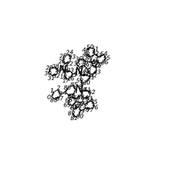 c1ccc(-c2ccc(N(c3cccc(N(c4cccc(N(c5ccccc5)c5ccccc5)c4)c4cccc5c4-c4ccccc4C54c5ccccc5-c5ccccc54)c3)c3cccc4c3-c3ccccc3C43c4ccccc4-c4ccccc43)cc2)cc1